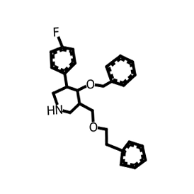 Fc1ccc(C2CNCC(COCCc3ccccc3)C2OCc2ccccc2)cc1